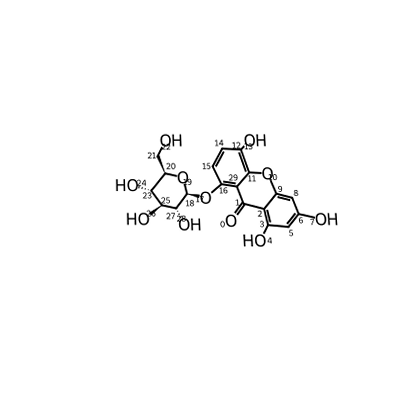 O=c1c2c(O)cc(O)cc2oc2c(O)ccc(O[C@@H]3O[C@H](CO)[C@@H](O)[C@H](O)[C@H]3O)c12